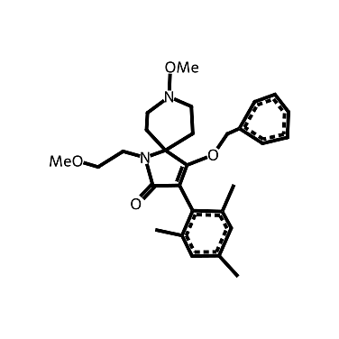 COCCN1C(=O)C(c2c(C)cc(C)cc2C)=C(OCc2ccccc2)C12CCN(OC)CC2